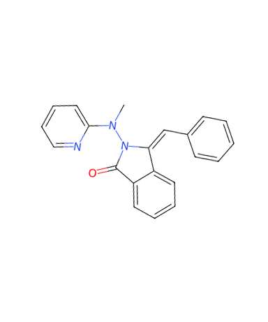 CN(c1ccccn1)N1C(=O)c2ccccc2C1=Cc1ccccc1